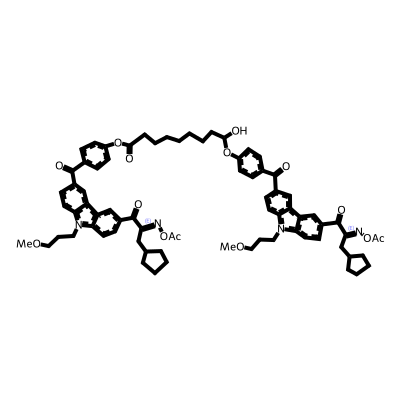 COCCCn1c2ccc(C(=O)/C(CC3CCCC3)=N/OC(C)=O)cc2c2cc(C(=O)c3ccc(OC(=O)CCCCCCCC(O)Oc4ccc(C(=O)c5ccc6c(c5)c5cc(C(=O)/C(CC7CCCC7)=N/OC(C)=O)ccc5n6CCCOC)cc4)cc3)ccc21